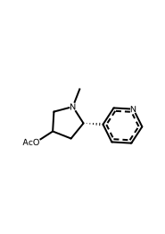 CC(=O)OC1C[C@@H](c2cccnc2)N(C)C1